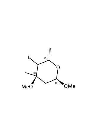 CO[C@H]1C[C@@](C)(OC)C(I)[C@H](C)O1